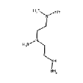 BNCCN(B)CCN(B)CCC